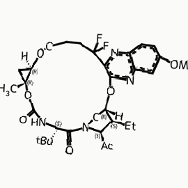 CC[C@@H]1[C@@H]2CN(C(=O)[C@H](C(C)(C)C)NC(=O)O[C@]3(C)C[C@H]3OCCCC(F)(F)c3nc4ccc(OC)cc4nc3O2)[C@@H]1C(C)=O